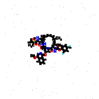 CCOc1cnc(O[C@@H]2C[C@H]3C(=O)N[C@]4(C(=O)NS(=O)(=O)C5(C)CC5)C[C@H]4/C=C\CC[C@@H](C)C[C@@H](C)[C@H](NC(=O)Oc4ccc(F)cc4F)C(=O)N3C2)c2ccccc12